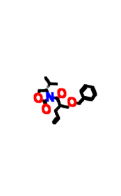 C=CC[C@H](COCc1ccccc1)C(=O)N1C(=O)OC[C@@H]1C(C)C